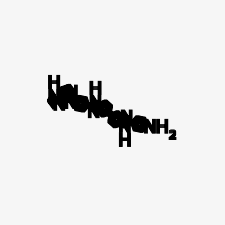 Nc1ccc(-c2nc3cc(-c4ccc5[nH]c(-c6ccc(NC7=NCCN7C7=NCCN7)cc6)nc5c4)ccc3[nH]2)cc1